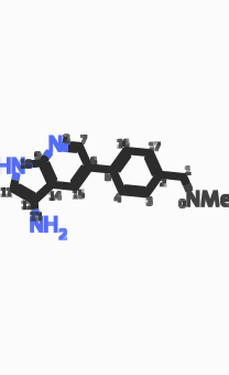 CNCc1ccc(-c2cnc3[nH]cc(N)c3c2)cc1